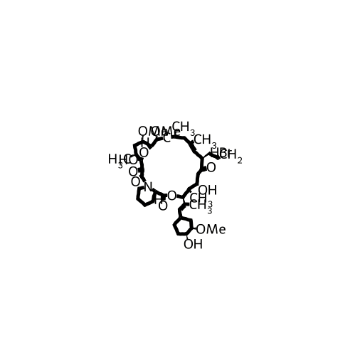 Br.C=CC[C@@H]1/C=C(\C)C[C@H](C)C[C@H](OC)[C@H]2O[C@@](O)(C(=O)C(=O)N3CCCC[C@H]3C(=O)O[C@H](/C(C)=C/C3CC[C@@H](O)[C@H](OC)C3)[C@H](C)[C@@H](O)CC1=O)[C@H](C)C[C@@H]2OC